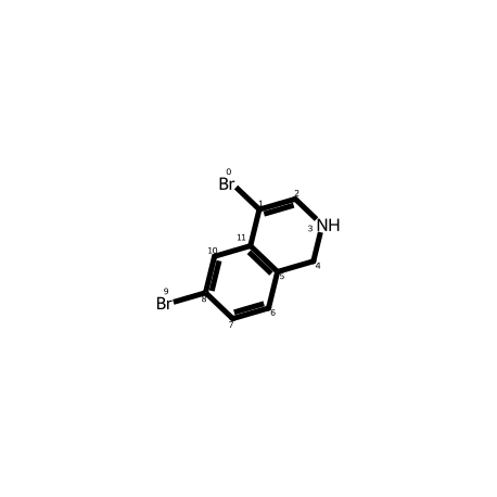 BrC1=CNCc2ccc(Br)cc21